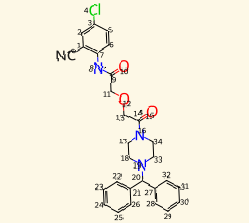 N#Cc1cc(Cl)ccc1[N]C(=O)COCC(=O)N1CCN(C(c2ccccc2)c2ccccc2)CC1